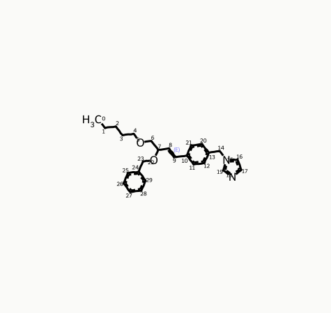 CCCCCOCC(/C=C/c1ccc(Cn2ccnc2)cc1)OCc1ccccc1